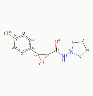 O=C(NN1CCCC1)C1OC1c1ccc(Cl)cc1